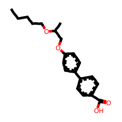 CCCCCOC(C)COc1ccc(-c2ccc(C(=O)O)cc2)cc1